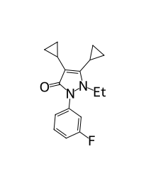 CCn1c(C2CC2)c(C2CC2)c(=O)n1-c1cccc(F)c1